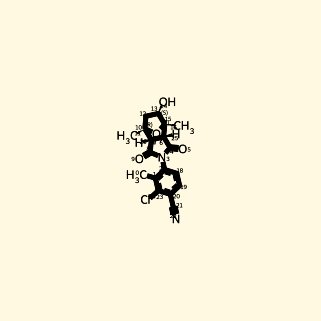 Cc1c(N2C(=O)[C@@H]3[C@H](C2=O)[C@@]2(C)C[C@H](O)[C@]3(C)O2)ccc(C#N)c1Cl